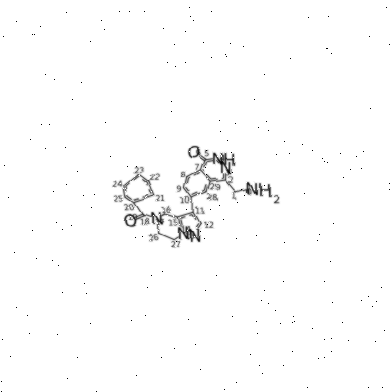 NCc1n[nH]c(=O)c2ccc(-c3cnn4c3CN(C(=O)c3ccccc3)CC4)cc12